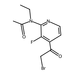 CCN(C(C)=O)c1nccc(C(=O)CBr)c1F